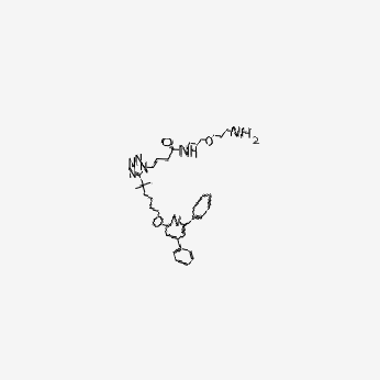 CC(C)(CCCCOc1cc(-c2ccccc2)cc(-c2ccccc2)n1)c1nnnn1CCCC(=O)NCCCOCCCN